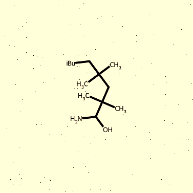 CCC(C)CC(C)(C)CC(C)(C)C(N)O